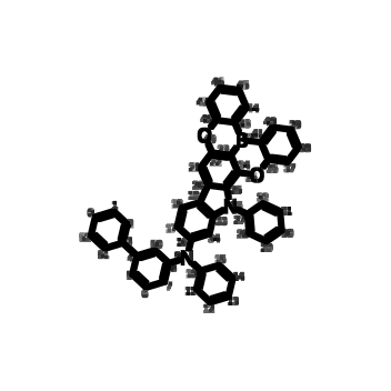 c1ccc(-c2cccc(N(c3ccccc3)c3ccc4c5cc6c7c(c5n(-c5ccccc5)c4c3)Oc3ccccc3B7c3ccccc3O6)c2)cc1